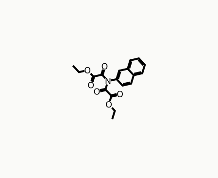 CCOC(=O)C(=O)N(C(=O)C(=O)OCC)c1ccc2ccccc2c1